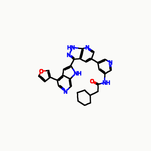 O=C(CC1CCCCC1)Nc1cncc(-c2cnc3[nH]nc(-c4cc5c(-c6ccoc6)cncc5[nH]4)c3c2)c1